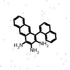 Nc1c(N)c(-c2cccc3ccccc23)c2cc3ccccc3cc2c1N